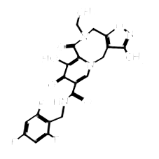 CCN1Cc2onc(C)c2Cn2cc(C(=O)NCc3c(F)cc(F)cc3F)c(=O)c(O)c2C1=O